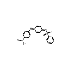 CCN(CC)c1ccc(N=C2C=CC(=NS(=O)(=O)c3ccccc3)C=C2)cc1